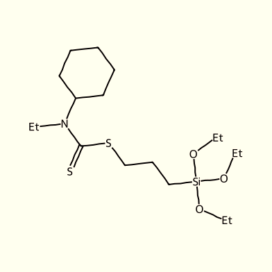 CCO[Si](CCCSC(=S)N(CC)C1CCCCC1)(OCC)OCC